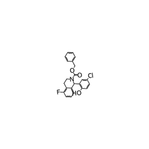 O=C(OCc1ccccc1)N1CCc2c(F)cccc2C1c1cc(Cl)ccc1O